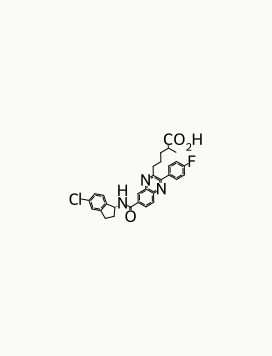 C[C@@H](CCCc1nc2cc(C(=O)N[C@@H]3CCc4cc(Cl)ccc43)ccc2nc1-c1ccc(F)cc1)C(=O)O